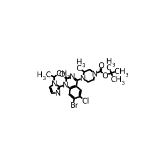 CC1CN(C(=O)OC(C)(C)C)CCN1c1nc(=O)n(-c2nccn2C(C)C)c2cc(Br)c(Cl)cc12